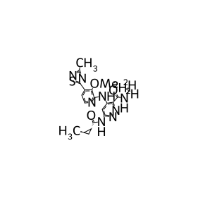 [2H]C([2H])([2H])NC(=O)c1nnc(NC(=O)[C@@H]2C[C@H]2C)cc1Nc1nccc(-c2nc(C)ns2)c1OC